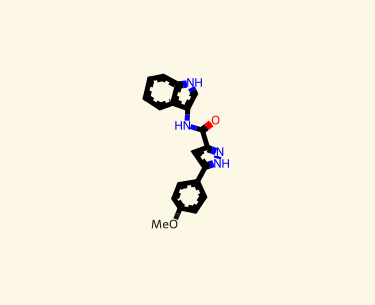 COc1ccc(-c2cc(C(=O)Nc3c[nH]c4ccccc34)n[nH]2)cc1